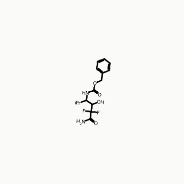 CC(C)C(NC(=O)OCc1ccccc1)C(O)C(F)(F)C(N)=O